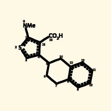 CNc1scc(C2CCc3ccccc3C2)c1C(=O)O